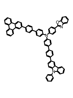 c1ccc(-n2c3ccccc3c3cc(-c4ccc(-c5ccc(N(c6ccc(-c7ccc(-c8ccc9c%10ccccc%10c%10ccccc%10c9c8)cc7)cc6)c6ccc(-c7nc8ccccc8o7)cc6)cc5)cc4)ccc32)cc1